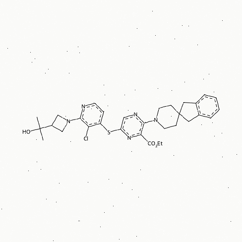 CCOC(=O)c1nc(Sc2ccnc(N3CC(C(C)(C)O)C3)c2Cl)cnc1N1CCC2(CC1)Cc1ccccc1C2